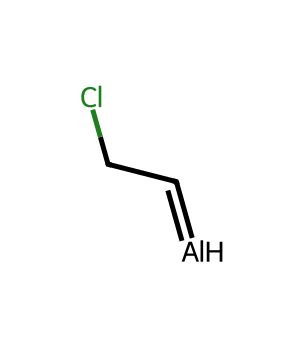 [AlH]=[CH]CCl